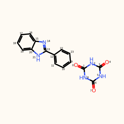 O=c1[nH]c(=O)[nH]c(=O)[nH]1.c1ccc(-c2nc3ccccc3[nH]2)cc1